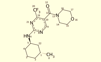 C[C@@H]1CCC[C@@H](Nc2ncc(C(=O)N3CCOCC3)c(C(F)(F)F)n2)C1